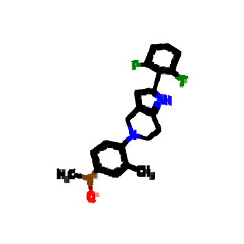 Cc1cc([S+](C)[O-])ccc1N1CCc2[nH]c(-c3c(F)cccc3F)cc2C1